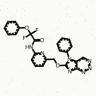 O=C(Nc1cccc(COc2nc3nnncc3n2-c2ccccc2)n1)C(F)(F)Oc1ccccc1